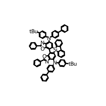 CC(C)(C)c1ccc(N(c2ccc(-c3ccccc3)cc2)c2cc3c(c4oc(-c5ccccc5)nc24)-c2c(cc(N(c4ccc(-c5ccccc5)cc4)c4ccc(C(C)(C)C)cc4)c4nc(-c5ccccc5)oc24)[Si]32c3ccccc3-c3ccccc32)cc1